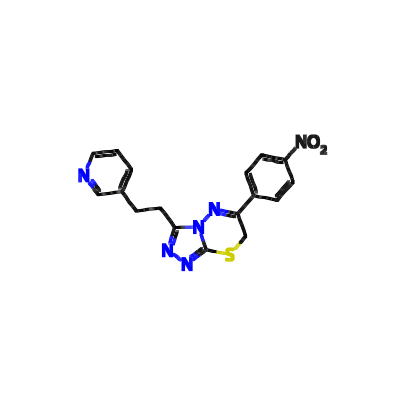 O=[N+]([O-])c1ccc(C2=Nn3c(CCc4cccnc4)nnc3SC2)cc1